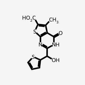 Cc1c(C(=O)O)sc2nc(C(O)c3cccs3)[nH]c(=O)c12